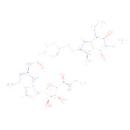 CCNC(=O)C1O[C@@H](n2cnc3c(N)nc(NC(=O)Cc4ccc(CCc5nc6c(c(=O)n(CC)c(=O)n6CC)n5C)cc4)nc32)[C@H](O)[C@@H]1O